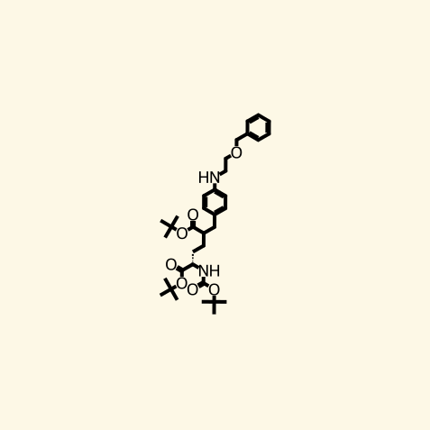 CC(C)(C)OC(=O)N[C@@H](CCC(Cc1ccc(NCCOCc2ccccc2)cc1)C(=O)OC(C)(C)C)C(=O)OC(C)(C)C